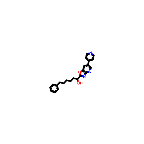 OC(CCCCCc1ccccc1)c1nc2ncc(-c3ccncc3)cc2o1